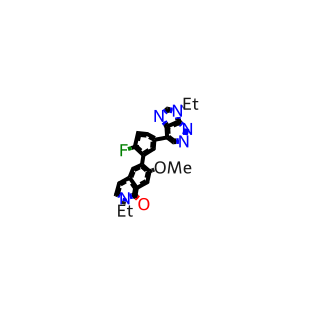 CCn1ccc2cc(-c3cc(-c4cnnc5c4ncn5CC)ccc3F)c(OC)cc2c1=O